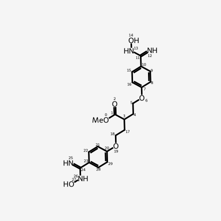 COC(=O)C(CCOc1ccc(C(=N)NO)cc1)CCOc1ccc(C(=N)NO)cc1